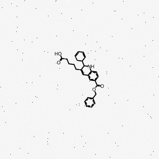 O=C(O)CCCCC1=Cc2cc(C(=O)OCc3ccccc3)ccc2NC1C1C=CC=CC1